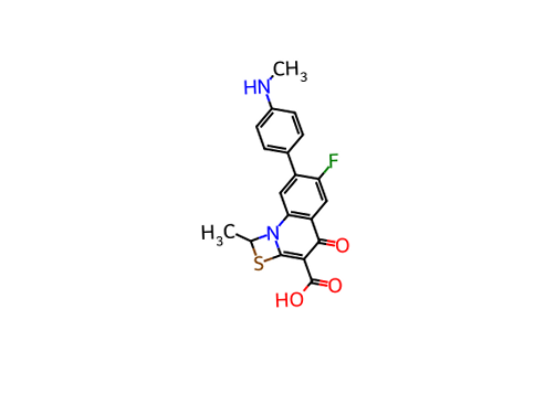 CNc1ccc(-c2cc3c(cc2F)c(=O)c(C(=O)O)c2n3C(C)S2)cc1